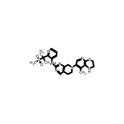 Cc1c(N2CCc3cnc(Nc4cccnc4C(C)(C)S(C)(=O)=O)nc3C2)cnc2c1NCCO2